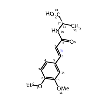 CCOc1ccc(/C=C/C(=O)N[C@@H](C)C(=O)O)cc1OC